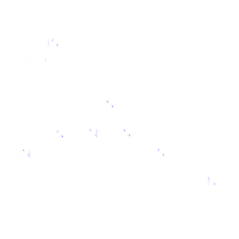 CCN1CCC(N2CCN(c3nc(/C=C4\SC(=O)NC4=O)cc(N4CCN(C)CC4)n3)CC2)CC1